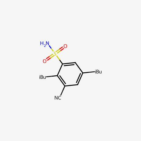 CCC(C)c1cc(C#N)c(C(C)CC)c(S(N)(=O)=O)c1